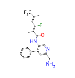 C/C(C(=O)Nc1cnc(CN)cc1-c1ccccc1)=C(F)\C=C(/C)C(F)(F)F